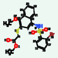 COC(=O)CSc1cc(NS(=O)(=O)c2ccccc2Br)c2ccccc2c1OC